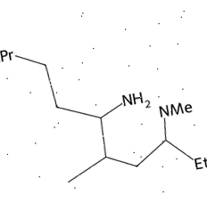 CCC(CC(C)C(N)CCC(C)C)NC